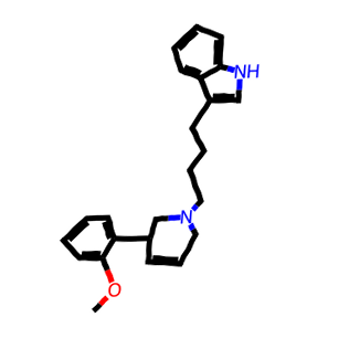 COc1ccccc1C1C=CCN(CCCCc2c[nH]c3ccccc23)C1